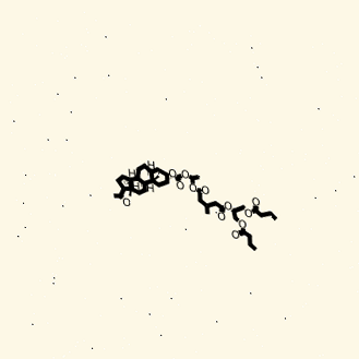 CCCC(=O)OCC(COC(=O)CCC)OC(=O)CC(C)CC(=O)OC(C)OC(=O)O[C@@H]1CC[C@@]2(C)[C@@H](CC[C@@H]3[C@@H]2CC[C@]2(C)C(C(C)=O)CC[C@@H]32)C1